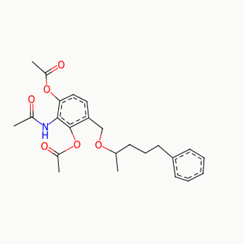 CC(=O)Nc1c(OC(C)=O)ccc(COC(C)CCCc2ccccc2)c1OC(C)=O